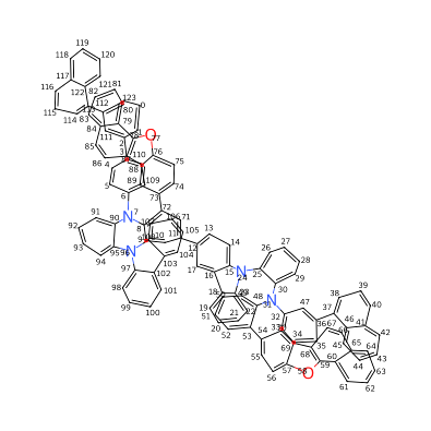 c1cc(-c2ccc(N(c3ccc(-c4ccc5c(c4)c4ccccc4n5-c4ccccc4N(c4cccc(-c5cccc6ccccc56)c4)c4ccccc4-c4ccc5oc6c7ccccc7ccc6c5c4)cc3-c3ccc4oc5c6ccccc6ccc5c4c3)c3ccccc3-n3c4ccccc4c4ccccc43)cc2)cc(-c2cccc3ccccc23)c1